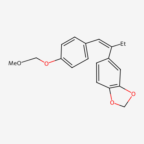 CC/C(=C/c1ccc(OCOC)cc1)c1ccc2c(c1)OCO2